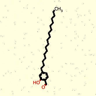 CCCCCCCCCCCCCCCCCCc1ccc(C=O)c(O)c1